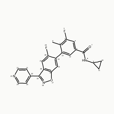 Cc1c(F)cc(C(=O)NC2CC2)cc1-c1cc2onc(-c3ccncc3)c2cc1F